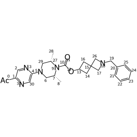 CC(=O)c1cnc(N2C[C@@H](C)N(C(=O)OC3CC4(C3)CN(Cc3ccccc3)C4)[C@@H](C)C2)cn1